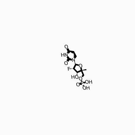 C[C@]1(COP(=O)(O)O)O[C@@H](n2ccc(=O)[nH]c2=O)[C@@H](F)[C@H]1O